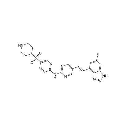 O=S(=O)(c1ccc(Nc2ncc(/C=C/c3cc(F)cc4[nH]nnc34)cn2)cc1)C1CCNCC1